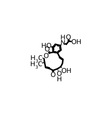 C[C@@H]1/C=C\C(=O)[C@@H](O)[C@@H](O)C/C=C/c2cc(NCC(=O)O)cc(O)c2C(=O)O[C@H]1C